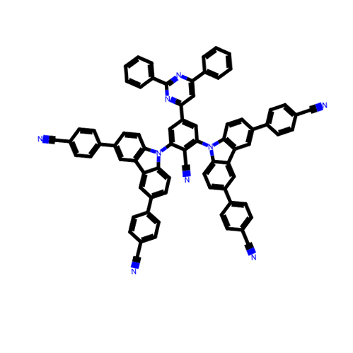 N#Cc1ccc(-c2ccc3c(c2)c2cc(-c4ccc(C#N)cc4)ccc2n3-c2cc(-c3cc(-c4ccccc4)nc(-c4ccccc4)n3)cc(-n3c4ccc(-c5ccc(C#N)cc5)cc4c4cc(-c5ccc(C#N)cc5)ccc43)c2C#N)cc1